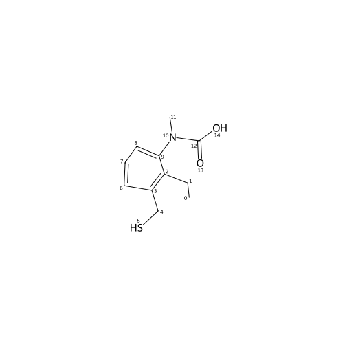 CCc1c(CS)cccc1N(C)C(=O)O